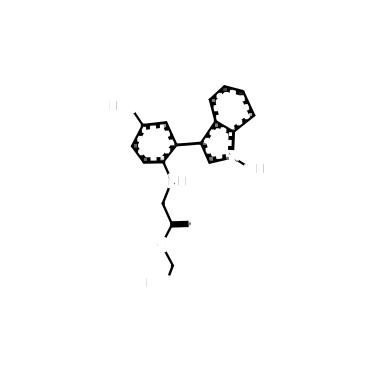 CCOC(=O)CNc1ccc(C)cc1-c1cn(C)c2ccccc12